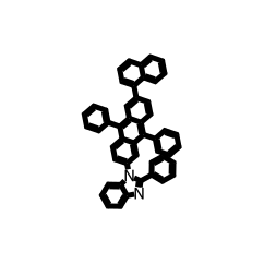 c1ccc(-c2c3ccc(-n4c(-c5ccccc5)nc5ccccc54)cc3c(-c3ccccc3)c3ccc(-c4cccc5ccccc45)cc23)cc1